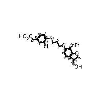 CCCc1c(OCCCSc2ccc(CC(=O)O)cc2Cl)ccc2c1OCC2=NO